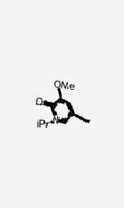 COc1cc(C)cn(C(C)C)c1=O